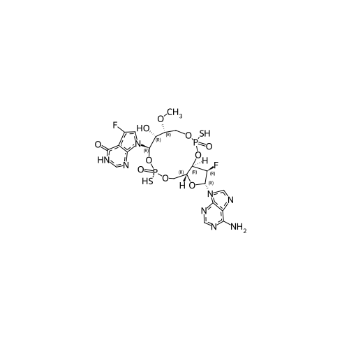 CO[C@@H]1COP(=O)(S)O[C@H]2[C@@H](F)[C@H](n3cnc4c(N)ncnc43)O[C@@H]2COP(=O)(S)O[C@@H](n2cc(F)c3c(=O)[nH]cnc32)[C@@H]1O